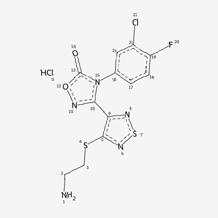 Cl.NCCSc1nsnc1-c1noc(=O)n1-c1ccc(F)c(Cl)c1